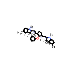 CCN1/C(=C/C=C2\CCC(/C=C/C3=[N+](CC)c4ccc(C)cc4C3(C)C)=C2Oc2ccccc2)C(C)(C)c2cc(C)ccc21